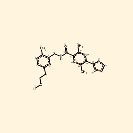 CCOCCc1ccc(C)c(CNC(=O)c2nc(C)c(-c3ncco3)nc2N)n1